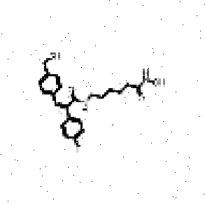 O=C(CCCCCNC(=O)/C(=C\c1ccc(CS)cc1)c1ccc(F)cc1)NO